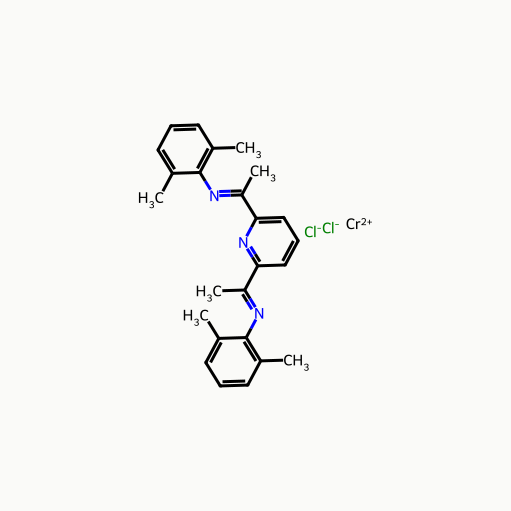 CC(=Nc1c(C)cccc1C)c1cccc(C(C)=Nc2c(C)cccc2C)n1.[Cl-].[Cl-].[Cr+2]